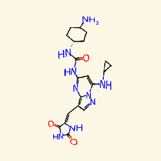 N[C@H]1CC[C@H](NC(=O)Nc2cc(NC3CC3)n3ncc(/C=C4\NC(=O)NC4=O)c3n2)CC1